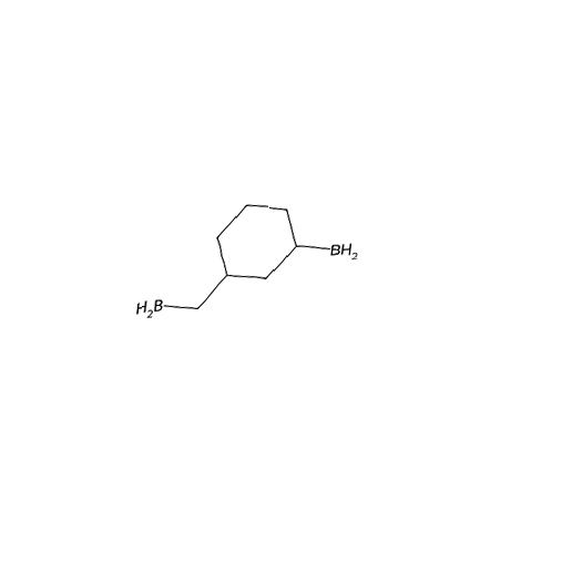 BCC1CCCC(B)C1